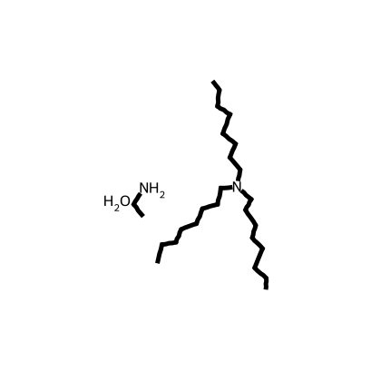 CCCCCCCCN(CCCCCCCC)CCCCCCCC.CCN.O